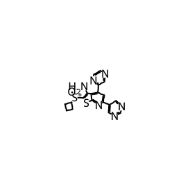 Nc1c([S+]([O-])C2CCC2)sc2nc(-c3cncnc3)cc(-c3cnccn3)c12